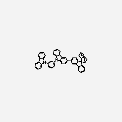 c1cc(-n2c3ccccc3c3ccccc32)cc(-n2c3ccccc3c3cc(-c4ccc5c(c4)-c4ccccc4C54C5CC6CC(C5)C4C6)ccc32)c1